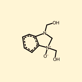 [O-][N+]1(CO)CN(CO)c2ccccc21